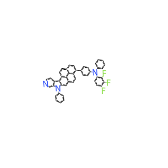 Fc1ccc(N(c2ccccc2)c2ccc(-c3ccc4ccc5c6c(ccc3c46)cc3c5c4ccncc4n3-c3ccccc3)cc2)c(F)c1F